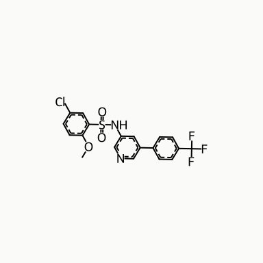 COc1ccc(Cl)cc1S(=O)(=O)Nc1cncc(-c2ccc(C(F)(F)F)cc2)c1